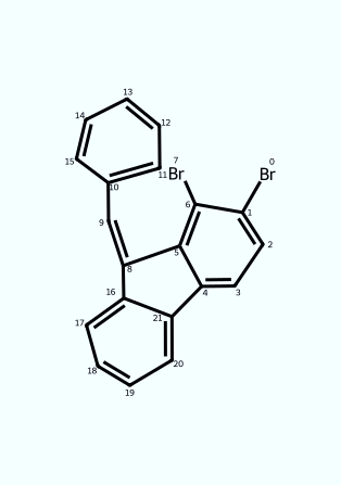 Brc1ccc2c(c1Br)C(=Cc1ccccc1)c1ccccc1-2